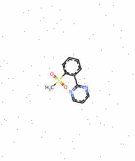 CS(=O)(=O)c1[c]cccc1-c1ncccn1